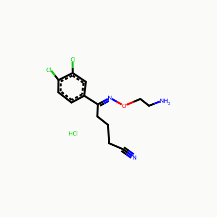 Cl.N#CCCCC(=NOCCN)c1ccc(Cl)c(Cl)c1